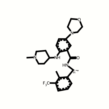 Cc1c([C@@H](C)NC(=O)c2cc(N3CCOCC3)ccc2NC2CCN(C)CC2)cccc1C(F)(F)F